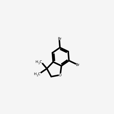 CC1(C)COc2c(Br)cc(Br)cc21